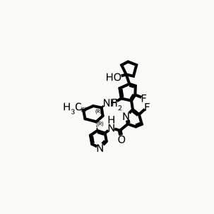 C[C@@H]1C[C@@H](N)C[C@H](c2ccncc2NC(=O)c2ccc(F)c(-c3c(F)cc(C4(O)CCCC4)cc3F)n2)C1